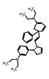 CCN(CC)C1=CC=CC(C=CN2C=CCN2c2cccc(N(CC)CC)c2)(c2ccccc2)C1